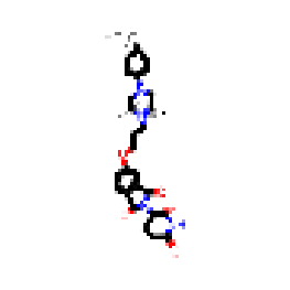 C[C@@H]1CN(c2ccc(C(=O)O)cc2)C[C@H](C)N1CCCOc1ccc2c(c1)C(=O)N(C1CCC(=O)NC1=O)C2=O